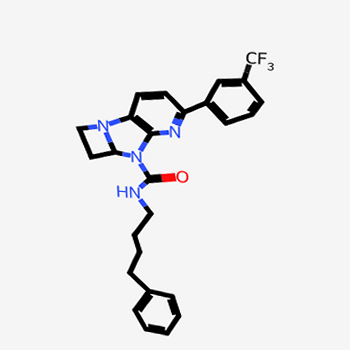 O=C(NCCCCc1ccccc1)N1c2nc(-c3cccc(C(F)(F)F)c3)ccc2N2CCC21